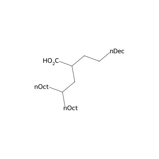 CCCCCCCCCCCCC(CC(CCCCCCCC)CCCCCCCC)C(=O)O